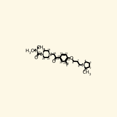 C[C@@H]1CCCN1CCCOc1ccc(C(=O)CN2CCN(C(=O)N(C)C)CC2)cc1F